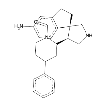 Nc1ccc2c(c1)CC[C@]21CNC[C@H]1C1CC(c2ccccc2)CCN1C=O